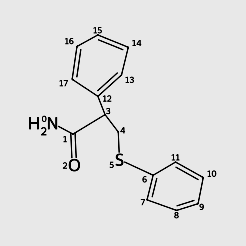 NC(=O)C(CSc1ccccc1)c1ccccc1